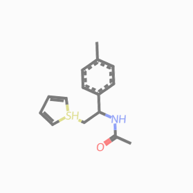 CC(=O)NC(C[SH]1C=CC=C1)c1ccc(C)cc1